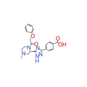 CN1CCN(C(=O)COc2ccccc2)[C@@H](c2nc(-c3ccc(C(=O)O)cc3)n[nH]2)C1